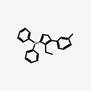 CCC1=C(c2cccc(C)c2)CC=C1[SiH](c1ccccc1)c1ccccc1